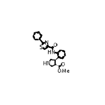 COC(=O)[C@@H]1CNC[C@H]1c1ccccc1NC(=O)c1csc(-c2ccccc2)n1